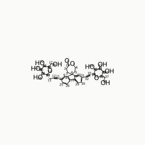 O=C1CCC2(CCO1)c1cc(C#CC[C@H]3O[C@H](CO)[C@@H](O)[C@H](O)[C@@H]3O)ccc1-c1ccc(C#C[C@H]3O[C@H](CO)[C@@H](O)[C@H](O)[C@@H]3O)cc12